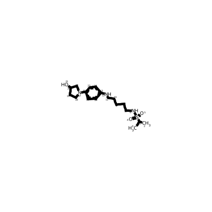 CC(C)S(=O)(=O)NCCCCCNc1ccc(N2CCC(O)C2)cc1